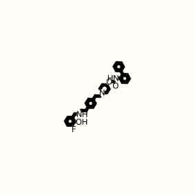 O=C(Nc1ccccc1-c1ccccc1)OC1CCN(CCc2ccc(CCNCc3cccc(F)c3O)cc2)CC1